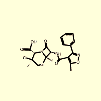 Cc1onc(-c2ccccc2)c1C(=O)N[C@@H]1C(=O)N2[C@@H](C(=O)O)[C@](C)(Cl)CS[C@@H]12